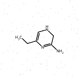 CCC1=CNCC(N)=N1